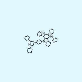 c1ccc(-c2cc(-c3ccc(-n4c5ccccc5c5c6c(c7ccccc7n6-c6ccccc6)c6sc7ccccc7c6c54)cc3)cc(-c3ccccc3)n2)cc1